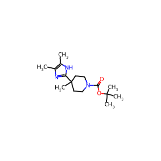 Cc1nc(C2(C)CCN(C(=O)OC(C)(C)C)CC2)[nH]c1C